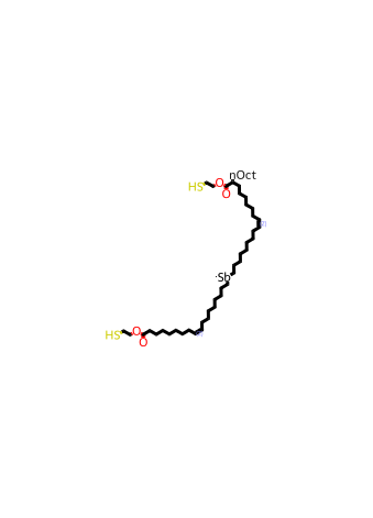 CCCCCCCCC(CCCCCC/C=C\CCCCCCC[CH2][Sb][CH2]CCCCCCC/C=C\CCCCCCCC(=O)OCCS)C(=O)OCCS